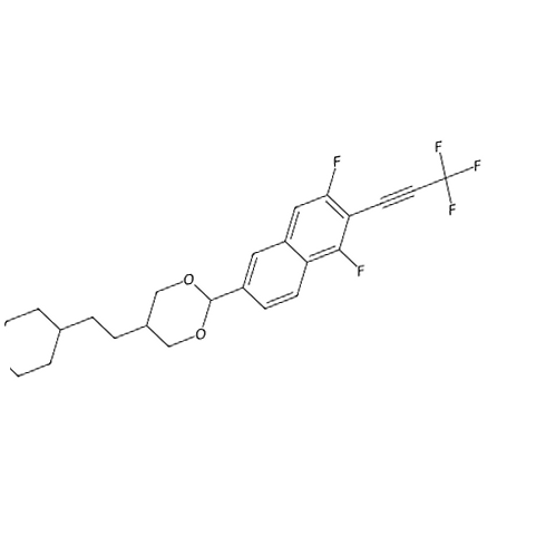 Fc1cc2cc(C3OCC(CCC4CCCCC4)CO3)ccc2c(F)c1C#CC(F)(F)F